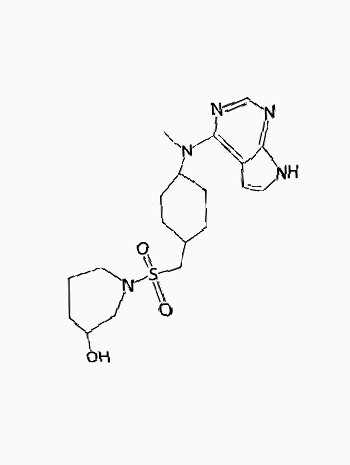 CN(c1ncnc2[nH]ccc12)C1CCC(CS(=O)(=O)N2CCCC(O)C2)CC1